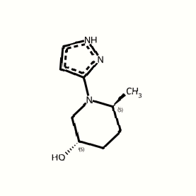 C[C@H]1CC[C@H](O)CN1c1cc[nH]n1